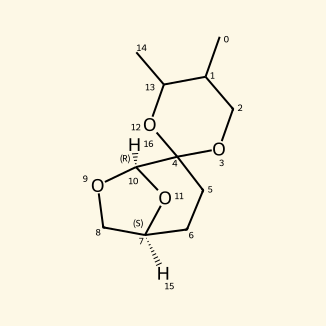 CC1COC2(CC[C@H]3CO[C@@H]2O3)OC1C